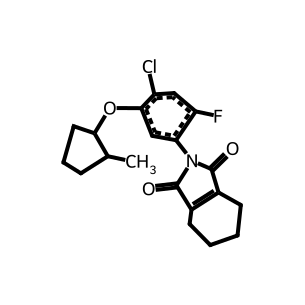 CC1CCCC1Oc1cc(N2C(=O)C3=C(CCCC3)C2=O)c(F)cc1Cl